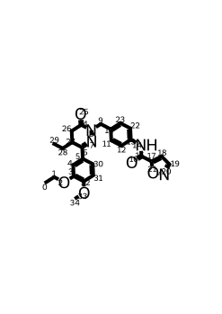 CCOc1cc(C2=NN(Cc3ccc(NC(=O)c4ccno4)cc3)C(=O)CC2CC)ccc1OC